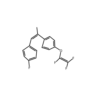 CC(=Cc1ccc(F)cc1)c1ccc(OC(F)=C(F)F)cc1